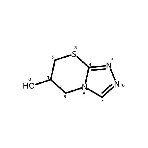 OC1CSc2nncn2C1